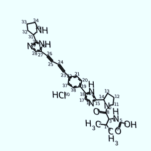 CC(C)[C@H](NC(=O)O)C(=O)N1CCCC1c1ncc(-c2ccc(C#CC#Cc3cnc(C4CCCN4)[nH]3)cc2)[nH]1.Cl